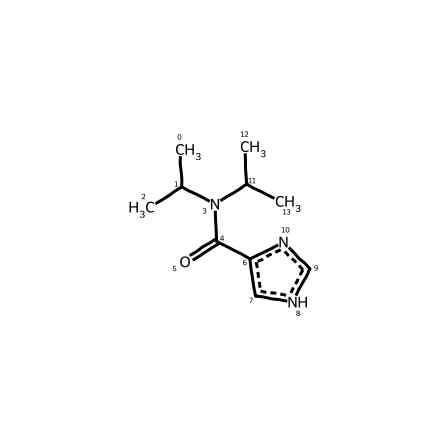 CC(C)N(C(=O)c1c[nH]cn1)C(C)C